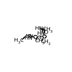 CC#CCN/C=C\C(=N)c1ccc(OCc2c(CC)cccc2NC(=O)N(C)N=N)c(C)c1